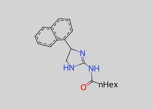 CCCCCCC(=O)NC1=NC(c2cccc3ccccc23)CN1